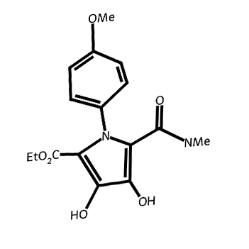 CCOC(=O)c1c(O)c(O)c(C(=O)NC)n1-c1ccc(OC)cc1